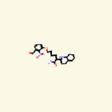 NC(=O)C(CCCCOc1cccc(C=O)c1[N+](=O)[O-])C1CCC2CCCCC2N1